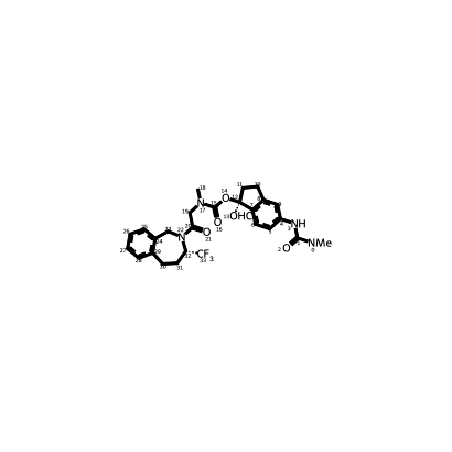 CNC(=O)Nc1ccc2c(c1)CC[C@]2(C=O)OC(=O)N(C)CC(=O)N1Cc2ccccc2CC[C@H]1C(F)(F)F